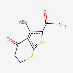 CCCCc1c(C(N)=O)sc2c1C(=O)CCS2